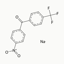 O=C(c1ccc([N+](=O)[O-])cc1)c1ccc(C(F)(F)F)cc1.[Na]